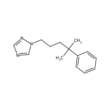 CC(C)(CCCn1cncn1)c1ccccc1